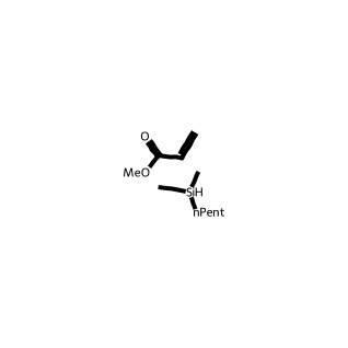 C=CC(=O)OC.CCCCC[SiH](C)C